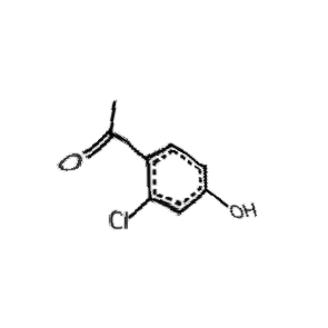 CC(=O)c1ccc(O)cc1Cl